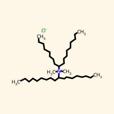 CCCCCCCCCC(CCCCCCCC)[N+](C)(C)C(CCCCCCCC)CCCCCCCCC.[Cl-]